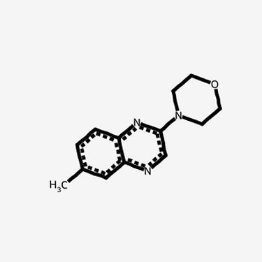 Cc1ccc2nc(N3CCOCC3)cnc2c1